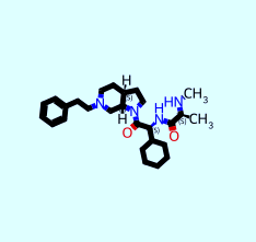 CN[C@@H](C)C(=O)N[C@H](C(=O)N1CC[C@@H]2CCN(CCc3ccccc3)C[C@H]21)C1CCCCC1